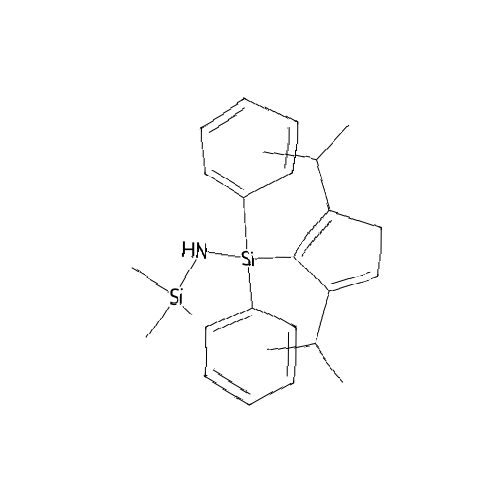 CC(C)C1=CCC(C(C)C)=C1[Si](N[Si](C)(C)C)(c1ccccc1)c1ccccc1